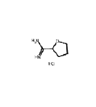 Cl.N=C(N)C1CCCO1